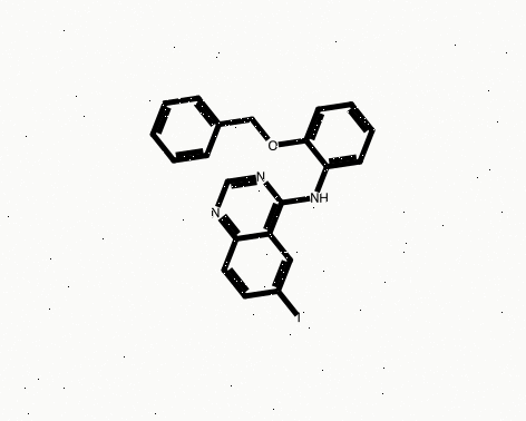 Ic1ccc2ncnc(Nc3ccccc3OCc3ccccc3)c2c1